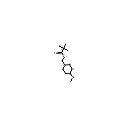 [CH2]OC1CCN(COC(=O)C(C)(C)C)CC1